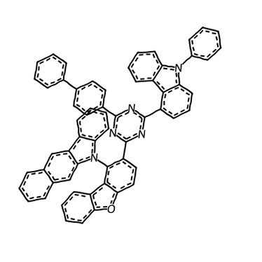 c1ccc(-c2ccc(-c3nc(-c4ccc5oc6ccccc6c5c4-n4c5ccccc5c5cc6ccccc6cc54)nc(-c4cccc5c4c4ccccc4n5-c4ccccc4)n3)cc2)cc1